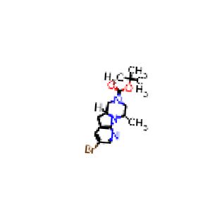 C[C@@H]1CN(C(=O)OC(C)(C)C)C[C@H]2Cc3cc(Br)cnc3N21